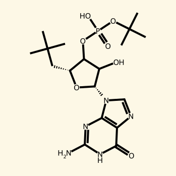 CC(C)(C)C[C@H]1O[C@@H](n2cnc3c(=O)[nH]c(N)nc32)C(O)C1OP(=O)(O)OC(C)(C)C